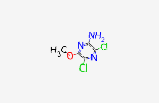 COc1nc(N)c(Cl)nc1Cl